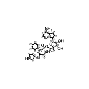 C[C@H](NP(=O)(OC[C@@]1(C#N)O[C@@H](c2ccc3c(N)ncnn23)[C@H](O)[C@@H]1O)Oc1ccccc1)C(=O)O[C@@H]1CCNC1